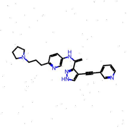 C=C(Nc1ccc(CCCN2CCCC2)nc1)c1n[nH]cc1C#Cc1cccnc1